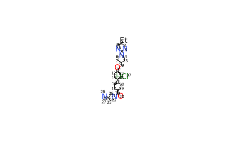 CCc1cnc(N2CCC(COc3ccc(C4=CCC(C(=O)N5CCC(N(C)C)C5)CC4)cc3)CC2)nc1.Cl